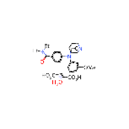 CCN(CC)C(=O)c1ccc(N(c2cccc(OC)c2)C2CN3CCC2CC3)cc1.O.O=C(O)/C=C/C(=O)O